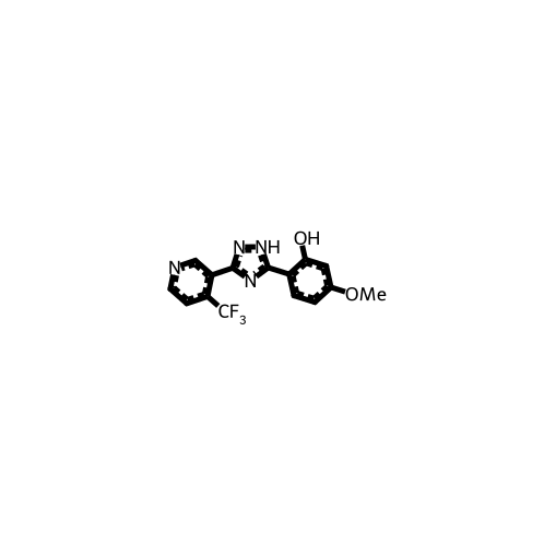 COc1ccc(-c2nc(-c3cnccc3C(F)(F)F)n[nH]2)c(O)c1